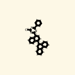 Clc1nc(-c2ccccc2)nc(-c2ccc(-c3cc4ccccc4c4ccccc34)c3ccccc23)n1